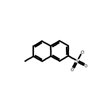 Cc1ccc2ccc(S(=O)(=O)Cl)cc2c1